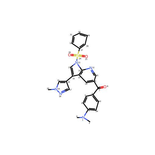 CN(C)c1ccc(C(=O)c2cnc3c(c2)c(-c2cnn(C)c2)cn3S(=O)(=O)c2ccccc2)cc1